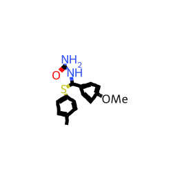 COc1ccc(C(NC(N)=O)Sc2ccc(C)cc2)cc1